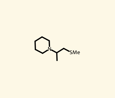 CSCC(C)N1CCCCC1